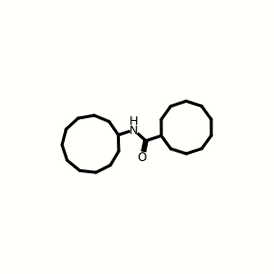 O=C(NC1CCCCCCCCCC1)C1CCCCCCCCC1